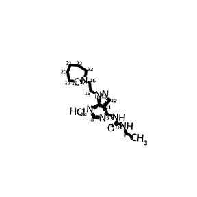 CCNC(=O)Nc1ncnc2c1cnn2CCN1CCCCCC1.Cl